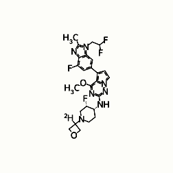 [2H]C1(N2CC[C@@H](Nc3nc(OC)c4c(-c5cc(F)c6nc(C)n(CC(F)F)c6c5)ccn4n3)[C@@H](F)C2)COC1